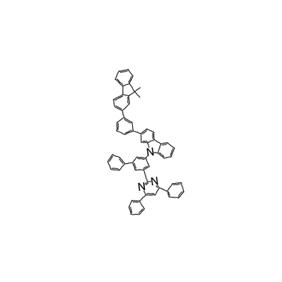 CC1(C)c2ccccc2-c2ccc(-c3cccc(-c4ccc5c6ccccc6n(-c6cc(-c7ccccc7)cc(-c7nc(-c8ccccc8)cc(-c8ccccc8)n7)c6)c5c4)c3)cc21